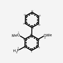 COc1ccc(P)c(OC)c1-c1ccccc1